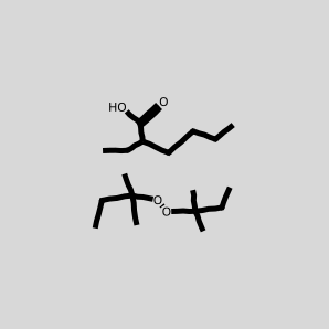 CCC(C)(C)OOC(C)(C)CC.CCCCC(CC)C(=O)O